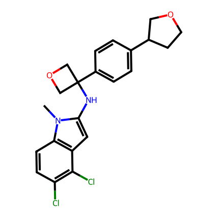 Cn1c(NC2(c3ccc(C4CCOC4)cc3)COC2)cc2c(Cl)c(Cl)ccc21